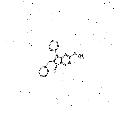 CSc1ncc2c(=O)n(Cc3ccccc3)n(-c3ccccc3)c2n1